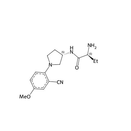 CC[C@H](N)C(=O)N[C@H]1CCN(c2ccc(OC)cc2C#N)C1